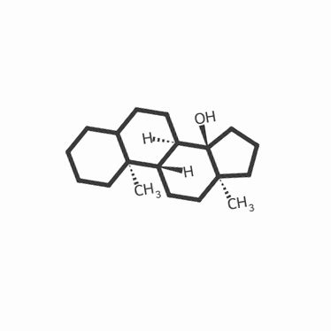 C[C@@]12CCC[C@@]1(O)[C@@H]1CCC3CCCC[C@]3(C)[C@H]1CC2